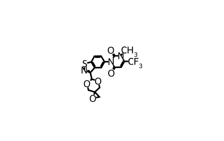 Cn1c(C(F)(F)F)cc(=O)n(-c2ccc3snc(C4OCC5(CO4)CO5)c3c2)c1=O